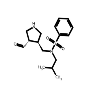 CC(C)CN(C[C@@H]1CNC[C@H]1C=O)S(=O)(=O)c1ccccc1